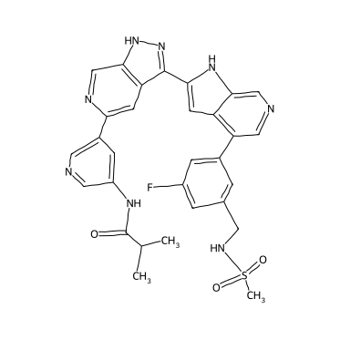 CC(C)C(=O)Nc1cncc(-c2cc3c(-c4cc5c(-c6cc(F)cc(CNS(C)(=O)=O)c6)cncc5[nH]4)n[nH]c3cn2)c1